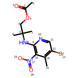 CC(=O)OCC(C)(C)Nc1ncc(Br)c(C)c1[N+](=O)[O-]